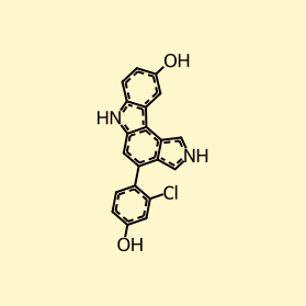 Oc1ccc(-c2cc3[nH]c4ccc(O)cc4c3c3c[nH]cc23)c(Cl)c1